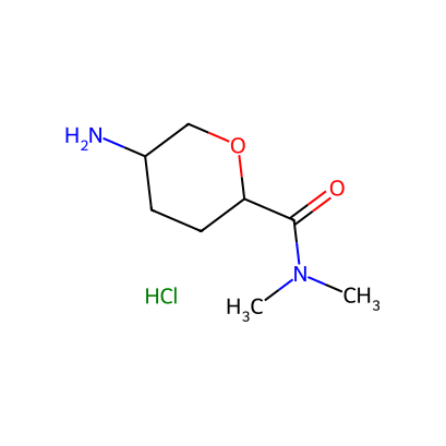 CN(C)C(=O)C1CCC(N)CO1.Cl